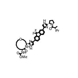 COC(=O)N[C@H]1CCCCCOCC[C@@H](c2nc(-c3ccc4c(c3)C(F)(F)c3cc(-c5c[nH]c([C@@H]6CCCN6C(=O)[C@@H](C)C(C)C)n5)ccc3-4)c[nH]2)NC1=O